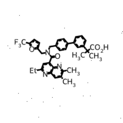 CCc1cc(C(=O)N(Cc2ccc(-c3cccc(C(C)(C)C(=O)O)c3)cc2)Cc2ccc(C(F)(F)F)o2)c2nc(C)c(C)cc2n1